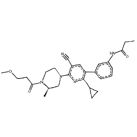 CCC(=O)Nc1cccc(-c2cc(C#N)c(N3CCN(C(=O)CCOC)[C@H](C)C3)nc2C2CC2)c1